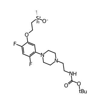 C[S@+]([O-])CCOc1cc(N2CCN(CCNC(=O)OC(C)(C)C)CC2)c(F)cc1F